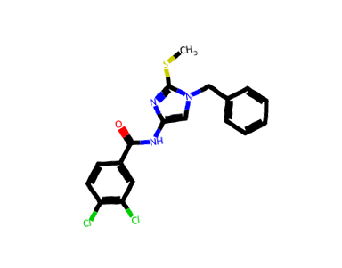 CSc1nc(NC(=O)c2ccc(Cl)c(Cl)c2)cn1Cc1ccccc1